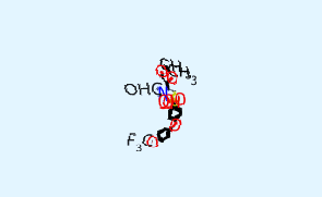 CC1(C)OC[C@H]([C@H](CS(=O)(=O)c2ccc(Oc3ccc(OC(F)(F)F)cc3)cc2)N(O)C=O)O1